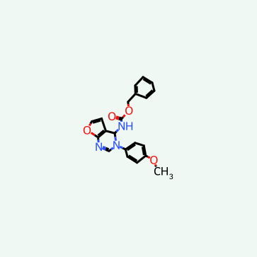 COc1ccc(N2C=Nc3occc3C2NC(=O)OCc2ccccc2)cc1